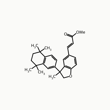 COC(=O)C=Cc1ccc2c(c1)C(C)(c1ccc3c(c1)C(C)(C)CCC3(C)C)CO2